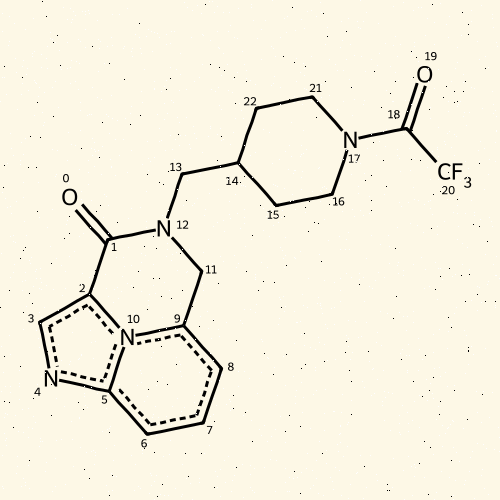 O=C1c2cnc3cccc(n23)CN1CC1CCN(C(=O)C(F)(F)F)CC1